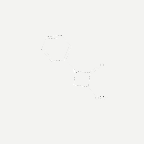 COC1CN(c2ccccc2)C1=O